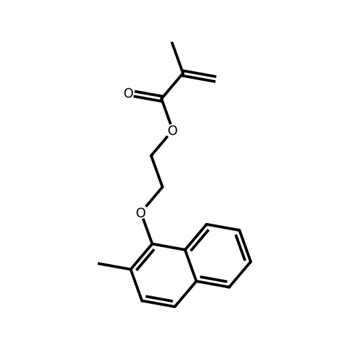 C=C(C)C(=O)OCCOc1c(C)ccc2ccccc12